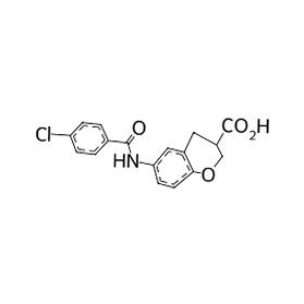 O=C(Nc1ccc2c(c1)CC(C(=O)O)CO2)c1ccc(Cl)cc1